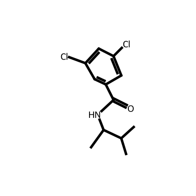 CC(C)C(C)NC(=O)c1cc(Cl)cc(Cl)c1